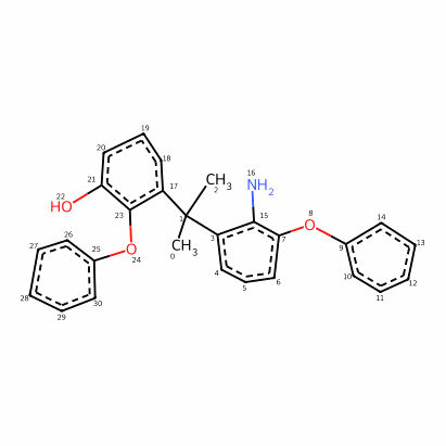 CC(C)(c1cccc(Oc2ccccc2)c1N)c1cccc(O)c1Oc1ccccc1